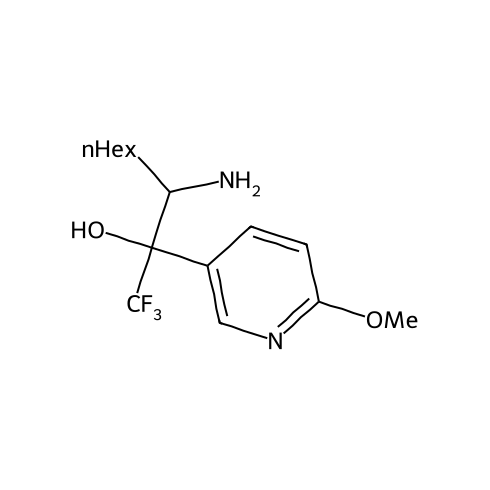 CCCCCCC(N)C(O)(c1ccc(OC)nc1)C(F)(F)F